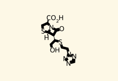 O=C(O)[C@@H]1CS[C@@H]2[C@@H](C(CO)SCCn3ncnn3)C(=O)N21